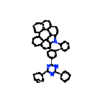 c1ccc(-c2nc(-c3ccccc3)nc(-c3cccc(-c4ccccc4-n4c5ccc6cccc7c6c5c5c6c(ccc8cccc-7c86)ccc54)c3)n2)cc1